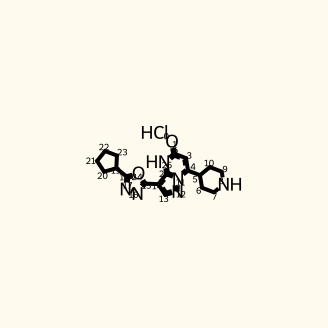 Cl.O=c1cc(C2CCNCC2)n2ncc(-c3nnc(C4CCCC4)o3)c2[nH]1